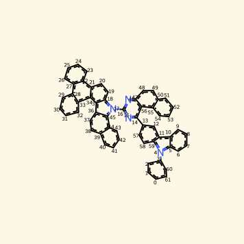 c1ccc(-n2c3ccccc3c3cc(-c4nc(-n5c6ccc7c8ccccc8c8ccccc8c7c6c6ccc7ccccc7c65)nc5ccc6ccccc6c45)ccc32)cc1